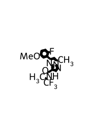 COc1ccc(F)c(-c2cc(C)n3ncc(C(=O)N[C@H](C)C(F)(F)F)c3n2)c1